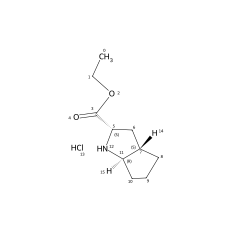 CCOC(=O)[C@@H]1C[C@@H]2CCC[C@H]2N1.Cl